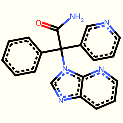 NC(=O)C(c1ccccc1)(c1cccnc1)n1cnc2cccnc21